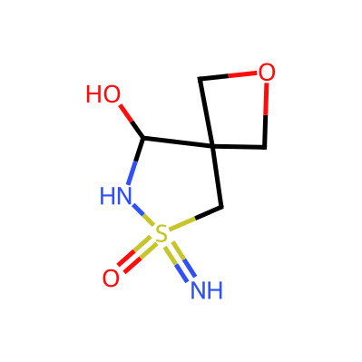 N=S1(=O)CC2(COC2)C(O)N1